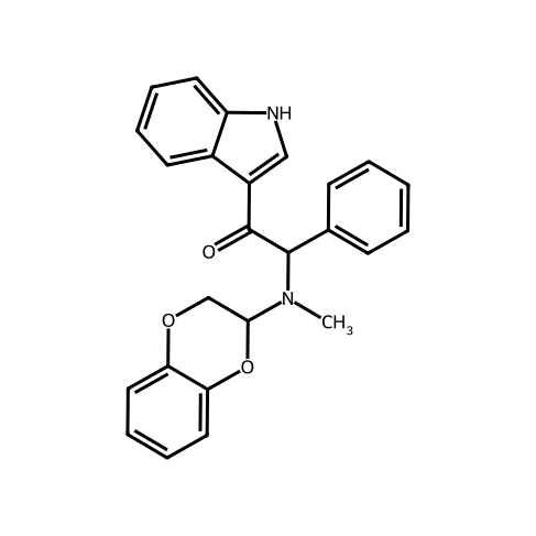 CN(C1COc2ccccc2O1)C(C(=O)c1c[nH]c2ccccc12)c1ccccc1